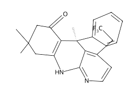 CC1(C)CC(=O)C2=C(C1)Nc1nccc(CC(F)(F)F)c1[C@]2(C)c1ccccc1